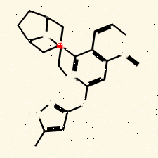 C=Nc1cc(Nc2cc(C)[nH]n2)nc(N2CC3CCC(C2)N3CCC#N)c1/C=C\C